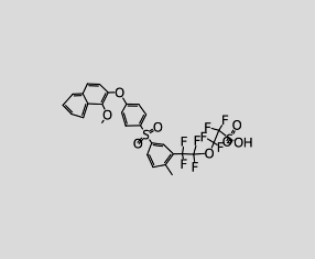 COc1c(Oc2ccc(S(=O)(=O)c3ccc(C)c(C(F)(F)C(F)(F)OC(F)(F)C(F)(F)S(=O)(=O)O)c3)cc2)ccc2ccccc12